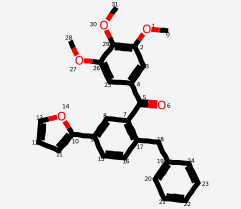 COc1cc(C(=O)c2cc(-c3ccco3)ccc2Cc2ccccc2)cc(OC)c1OC